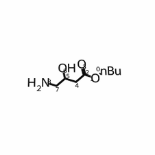 CCCCOC(=O)CC(O)CN